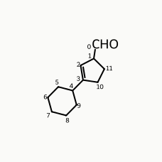 O=CC1C=C(C2CCCCC2)CC1